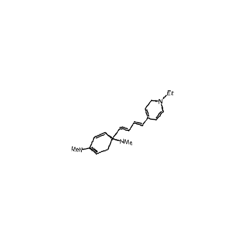 CCN1C=CC(C=CC=CC2(NC)C=CC(NC)=CC2)=CC1